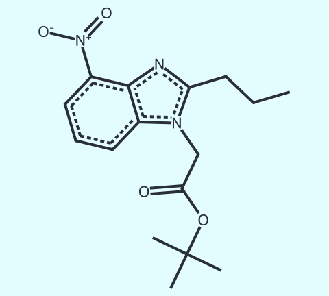 CCCc1nc2c([N+](=O)[O-])cccc2n1CC(=O)OC(C)(C)C